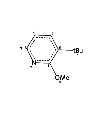 COc1nnccc1C(C)(C)C